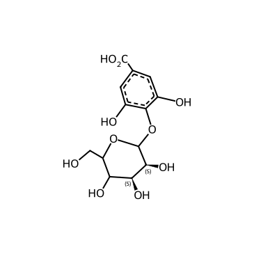 O=C(O)c1cc(O)c(OC2OC(CO)C(O)[C@H](O)[C@@H]2O)c(O)c1